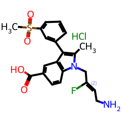 Cc1c(-c2cccc(S(C)(=O)=O)c2)c2cc(C(=O)O)ccc2n1C/C(F)=C/CN.Cl